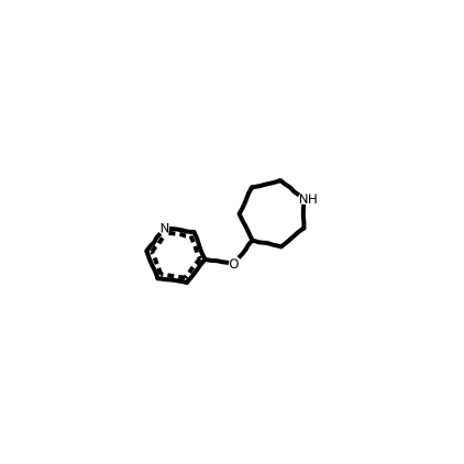 c1cncc(OC2CCCNCC2)c1